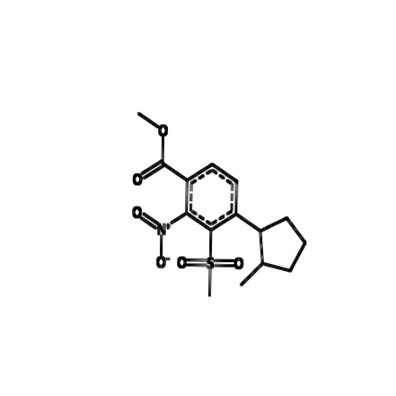 COC(=O)c1ccc(C2CCCC2C)c(S(C)(=O)=O)c1[N+](=O)[O-]